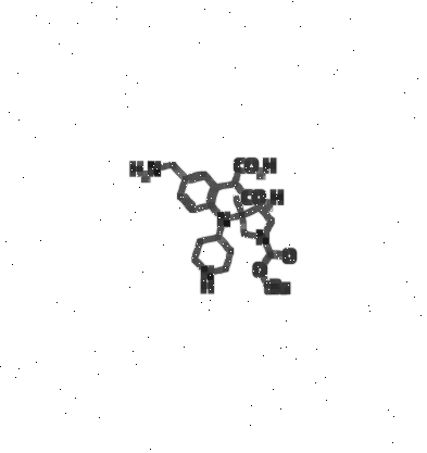 CC(C)(C)OC(=O)N1CCC(C)(N(c2ccc(CN)cc2C(C(=O)O)C(=O)O)C2CCNCC2)C1